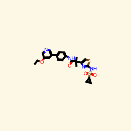 CCOc1cncc(-c2ccc(NC(=O)C(C)(C)c3csc(NS(=O)(=O)C4CC4)n3)cc2)c1